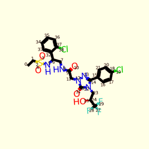 CCS(=O)(=O)NC(CNC(=O)Cn1nc(-c2ccc(Cl)cc2)n(C[C@H](O)C(F)(F)F)c1=O)c1ccccc1Cl